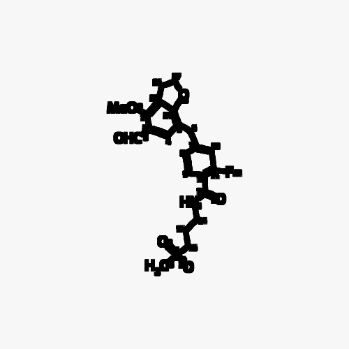 COc1c(C=O)cc(Cc2ccc(C(=O)NCCCS(C)(=O)=O)c(F)c2)c2c1CCO2